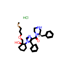 CSCCCOCC1(O)CCCCC1n1cnc(C(=O)N2CCNC[C@H]2Cc2ccccc2)c1-c1ccccc1.Cl